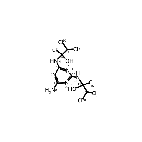 Nc1nc(NC(O)(Cl)C(Cl)Cl)nc(NC(O)(Cl)C(Cl)Cl)n1